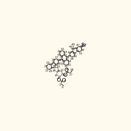 C=CC(=O)OCCCCC1(CCCCOC(=O)C=C)c2ccccc2-c2ccc(-c3c4ccccc4c(-c4ccc5c(c4)C(C)(C)c4cc(Br)ccc4-5)c4ccccc34)cc21